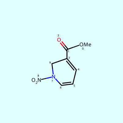 COC(=O)C1=CC=CN([N+](=O)[O-])C1